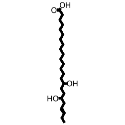 CCC=CCC(O)CCC(O)CCCCCCCCCCCCCCC(=O)O